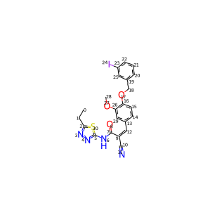 CCc1nnc(NC(=O)C(C#N)=Cc2ccc(OCc3cccc(I)c3)c(OC)c2)s1